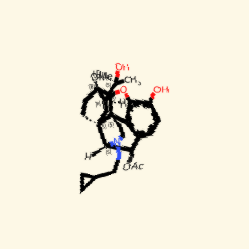 CO[C@]12CC[C@@]3(C[C@@H]1[C@](C)(O)C(C)(C)C)[C@H]1C(OC(C)=O)c4ccc(O)c5c4[C@@]3(CCN1CC1CC1)[C@H]2O5